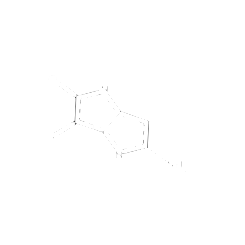 Nc1cc2nc(=O)c(=O)c-2n1